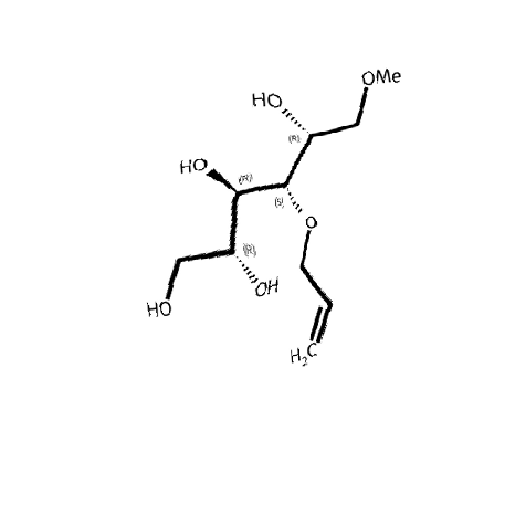 C=CCO[C@H]([C@H](O)[C@H](O)CO)[C@H](O)COC